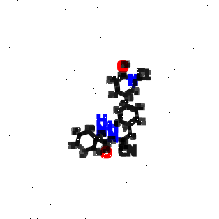 CCn1cc(-c2ccc(C[C@@H](C#N)NC(=O)C3(N)CCCCC3)cc2)ccc1=O